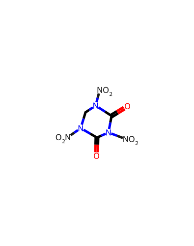 O=C1N([N+](=O)[O-])CN([N+](=O)[O-])C(=O)N1[N+](=O)[O-]